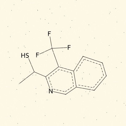 CC(S)c1ncc2ccccc2c1C(F)(F)F